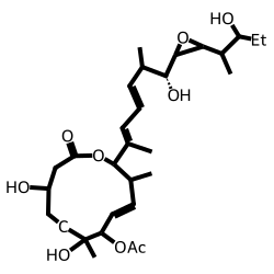 CCC(O)C(C)C1OC1[C@H](O)C(C)/C=C/C=C(\C)C1OC(=O)CC(O)CCC(C)(O)C(OC(C)=O)/C=C/C1C